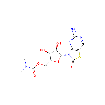 CN(C)C(=O)OC[C@H]1O[C@@H](n2c(=O)sc3cnc(N)nc32)[C@H](O)[C@@H]1O